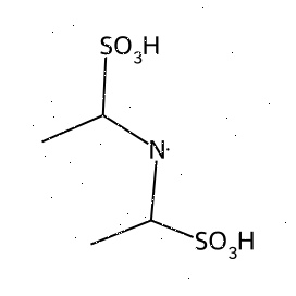 CC([N]C(C)S(=O)(=O)O)S(=O)(=O)O